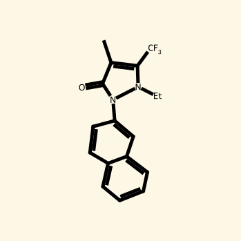 CCn1c(C(F)(F)F)c(C)c(=O)n1-c1ccc2ccccc2c1